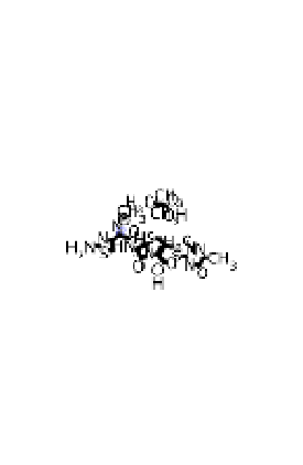 CC(C)(C)C(=O)O.CO/N=C(\C(=O)N[C@@H]1C(=O)N2C(C(=O)O)=C(CSc3nc(=O)c(C)nn3C)CS[C@H]12)c1csc(N)n1